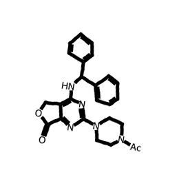 CC(=O)N1CCN(c2nc(NC(c3ccccc3)c3ccccc3)c3c(n2)C(=O)OC3)CC1